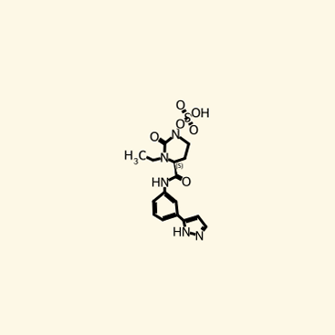 CCN1C(=O)N(OS(=O)(=O)O)CC[C@H]1C(=O)Nc1cccc(-c2ccn[nH]2)c1